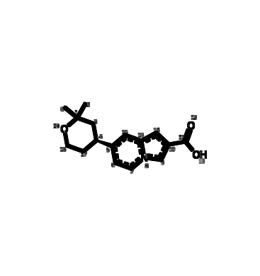 CC1(C)C[C@@H](c2ccn3cc(C(=O)O)cc3c2)CCO1